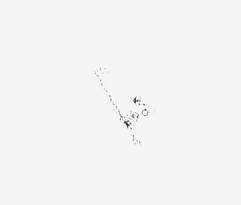 COCCOCCOCCOCCOCCOCCCOc1nn([C@H]2CC[C@H](N3CCOCC3)CC2)cc1Nc1ncc(-c2ccc(Cl)c(O[C@@H](C)Cn3cncn3)c2)cn1